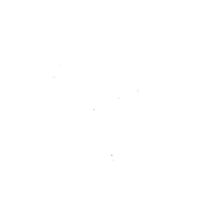 O.O.O=S(=O)(OP(c1ccccc1)c1ccccc1)c1ccccc1.[KH]